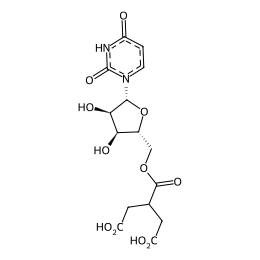 O=C(O)CC(CC(=O)O)C(=O)OC[C@H]1O[C@@H](n2ccc(=O)[nH]c2=O)[C@H](O)[C@@H]1O